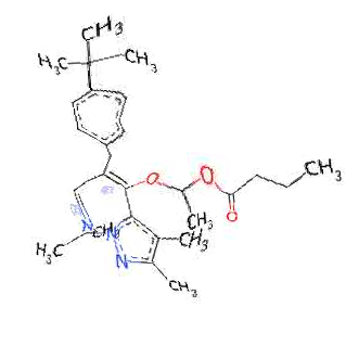 CCCC(=O)OC(C)O/C(=C(/C=N\C)c1ccc(C(C)(C)C)cc1)c1c(C)c(C)nn1CC